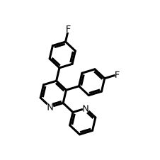 Fc1ccc(-c2ccnc(-c3ccccn3)c2-c2ccc(F)cc2)cc1